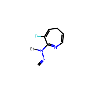 C=NN(CC)C1=NC=CCC=C1F